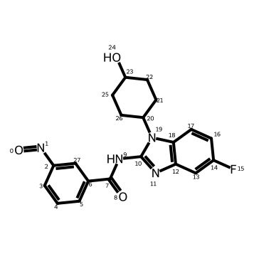 O=Nc1cccc(C(=O)Nc2nc3cc(F)ccc3n2C2CCC(O)CC2)c1